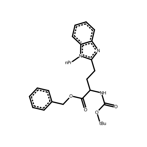 CCCn1c(CCC(NC(=O)OC(C)(C)C)C(=O)OCc2ccccc2)nc2ccccc21